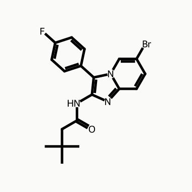 CC(C)(C)CC(=O)Nc1nc2ccc(Br)cn2c1-c1ccc(F)cc1